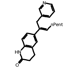 CCCCCC=C(Cc1cccnc1)c1ccc2c(c1)CCC(=O)N2